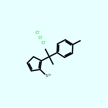 Cc1ccc(C(C)(C)C2=[C]([Ti+3])C=CC2)cc1.[Cl-].[Cl-].[Cl-]